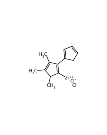 CC1=C(C)C(C)[C]([Zr+2])=C1C1=CC=CC1.[Cl-].[Cl-]